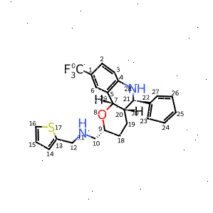 FC(F)(F)c1ccc2c(c1)[C@H]1O[C@@H](CNCc3cccs3)CC[C@H]1[C@H](c1ccccc1)N2